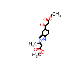 CCOC(=O)CC(=O)C1CCc2nn(C(C)CC(=O)OC)cc2C1